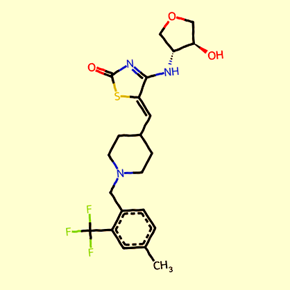 Cc1ccc(CN2CCC(/C=C3\SC(=O)N=C3N[C@@H]3COC[C@H]3O)CC2)c(C(F)(F)F)c1